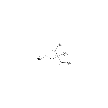 CCCCOCC(OCCCC)(OCCCC)OC(C)=O